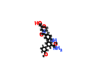 COc1cccc(-c2cc(C(N)=O)c3[nH]c4ccc(C(=O)N5CCOC(CO)C5)cc4c3c2)c1